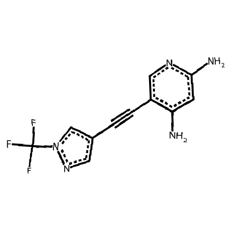 Nc1cc(N)c(C#Cc2cnn(C(F)(F)F)c2)cn1